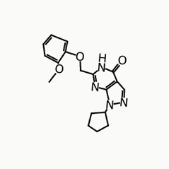 COc1ccccc1OCc1nc2c(cnn2C2CCCC2)c(=O)[nH]1